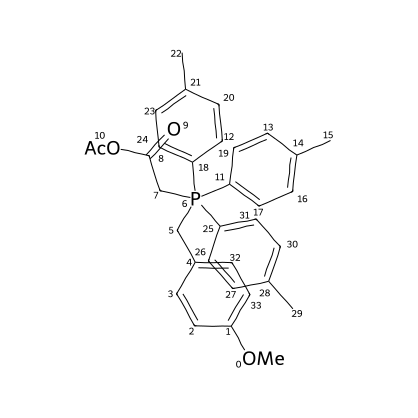 COc1ccc(CP(CC(=O)OC(C)=O)(c2ccc(C)cc2)(c2ccc(C)cc2)c2ccc(C)cc2)cc1